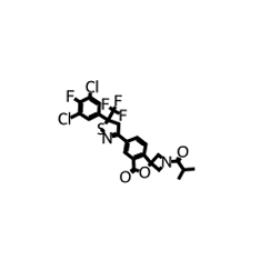 CC(C)C(=O)N1CC2(C1)OC(=O)c1cc(C3=NSC(c4cc(Cl)c(F)c(Cl)c4)(C(F)(F)F)C3)ccc12